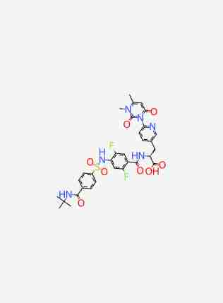 Cc1cc(=O)n(-c2ccc(C[C@H](NC(=O)c3cc(F)c(NS(=O)(=O)c4ccc(C(=O)NC(C)(C)C)cc4)cc3F)C(=O)O)cn2)c(=O)n1C